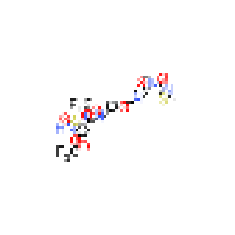 Cc1nc(C(=O)N2CCOC3(CCN(CCOc4cccc(CNC[C@H](OC(=O)C(F)(F)F)c5ccc(OC(=O)C(F)(F)F)c6[nH]c(=O)sc56)c4)CC3)C2)cs1